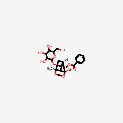 C[C@@]12OC3O[C@@]4(O)[C@@H]5C[C@]1(OC1OC(CO)C(O)C(O)C1O)[C@]5(COC(=O)c1ccccc1)[C@]324